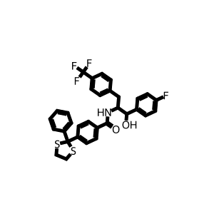 O=C(NC(Cc1ccc(C(F)(F)F)cc1)C(O)c1ccc(F)cc1)c1ccc(C2(c3ccccc3)SCCS2)cc1